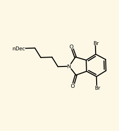 CCCCCCCCCCCCCCN1C(=O)c2c(Br)ccc(Br)c2C1=O